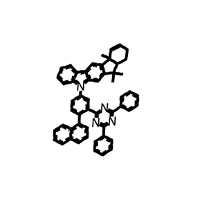 CC1(C)c2cc3c(cc2C2(C)C=CCCC12)c1ccccc1n3-c1ccc(-c2cccc3ccccc23)c(-c2nc(-c3ccccc3)nc(-c3ccccc3)n2)c1